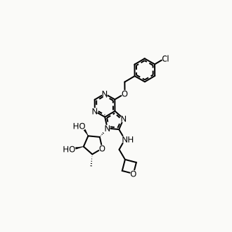 C[C@H]1O[C@@H](n2c(NCC3COC3)nc3c(OCc4ccc(Cl)cc4)ncnc32)[C@H](O)[C@@H]1O